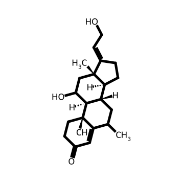 CC1C[C@@H]2[C@H](C(O)C[C@]3(C)C(=CCO)CC[C@@H]23)[C@@]2(C)CCC(=O)C=C12